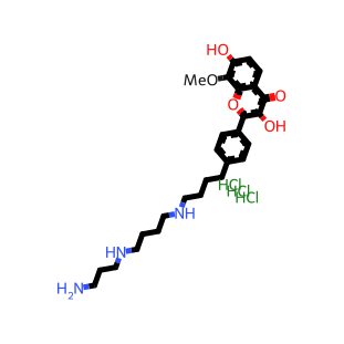 COc1c(O)ccc2c(=O)c(O)c(-c3ccc(CCCCNCCCCNCCCN)cc3)oc12.Cl.Cl.Cl